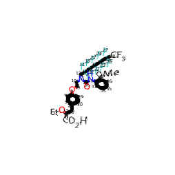 CCOC(Cc1ccc(OCCN(CC(F)(F)C(F)(F)C(F)(F)C(F)(F)C(F)(F)C(F)(F)F)C(=O)Nc2ccccc2OC)cc1)C(=O)O